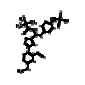 COc1ccc(-c2csc([C@H](Cc3ccc(NS(=O)(=O)O)cc3)NC(=O)C(C)(C)C)n2)c(C=O)c1